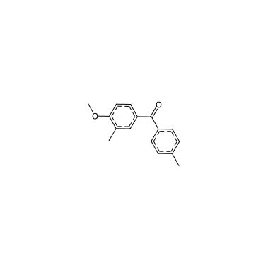 COc1ccc(C(=O)c2ccc(C)cc2)cc1C